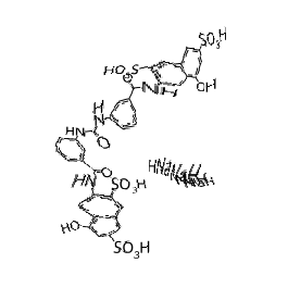 O=C(Nc1cccc(C(=O)Nc2cc3c(O)cc(S(=O)(=O)O)cc3cc2S(=O)(=O)O)c1)Nc1cccc(C(=O)Nc2cc3c(O)cc(S(=O)(=O)O)cc3cc2S(=O)(=O)O)c1.[NaH].[NaH].[NaH].[NaH]